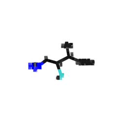 CNC(C(C)=O)C(F)CN